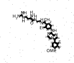 C=C(NCCNC(=O)[C@@H](N)CCNC(=N)N)c1ccc(Nc2nccn3c(-c4ccc(OC)c(F)c4F)cnc23)cc1CC